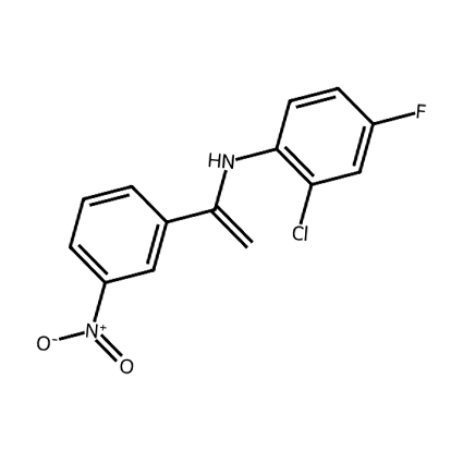 C=C(Nc1ccc(F)cc1Cl)c1cccc([N+](=O)[O-])c1